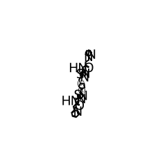 O=C(CCn1cccn1)Nc1nnc(C[C@H]2CC[C@@H](c3nnc(NC(=O)Cc4ccccn4)s3)C2)s1